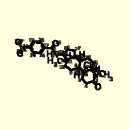 CN1C(=O)CC[C@]2(C)[C@H]3CC[C@]4(C)C(NC(=O)c5ccc([N+](=O)[O-])cc5)CC[C@H]4[C@@H]3CC[C@@H]12